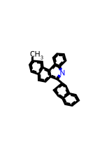 Cc1ccc2ccc3c(-c4ccc5ccccc5c4)nc4ccccc4c3c2c1